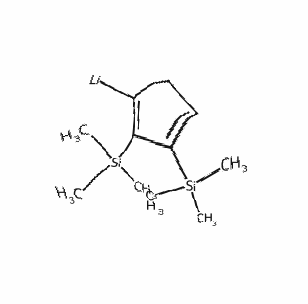 [Li][C]1=C([Si](C)(C)C)C([Si](C)(C)C)=CC1